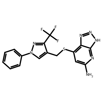 Nc1cc(SCc2cn(-c3ccccc3)nc2C(F)(F)F)c2nn[nH]c2n1